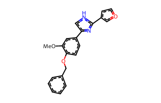 COc1cc(-c2c[nH]c(-c3ccoc3)n2)ccc1OCc1ccccc1